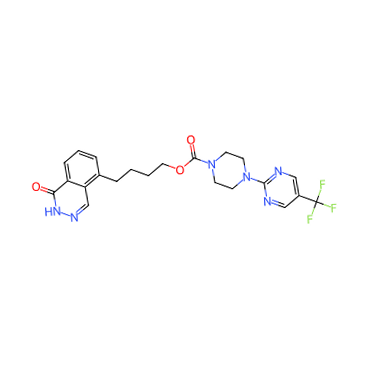 O=C(OCCCCc1cccc2c(=O)[nH]ncc12)N1CCN(c2ncc(C(F)(F)F)cn2)CC1